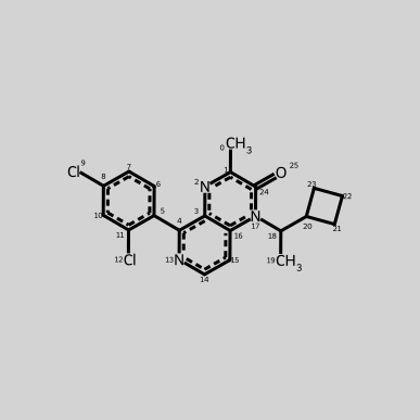 Cc1nc2c(-c3ccc(Cl)cc3Cl)nccc2n(C(C)C2CCC2)c1=O